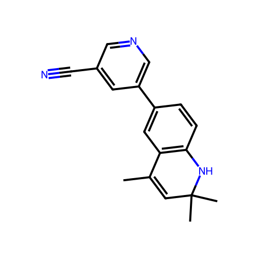 CC1=CC(C)(C)Nc2ccc(-c3cncc(C#N)c3)cc21